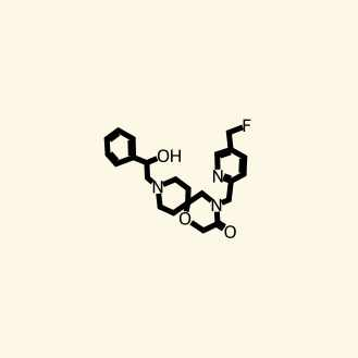 O=C1COC2(CCN(CC(O)c3ccccc3)CC2)CN1Cc1ccc(CF)cn1